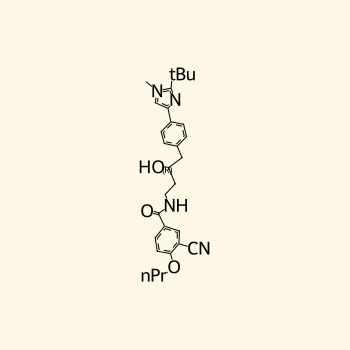 CCCOc1ccc(C(=O)NCC[C@H](O)Cc2ccc(-c3cn(C)c(C(C)(C)C)n3)cc2)cc1C#N